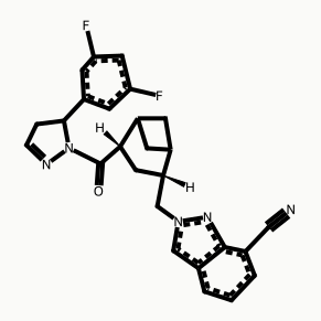 N#Cc1cccc2cn(C[C@@H]3C[C@H](C(=O)N4N=CCC4c4cc(F)cc(F)c4)C4CC3C4)nc12